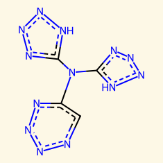 c1nnnnc1N(c1nnn[nH]1)c1nnn[nH]1